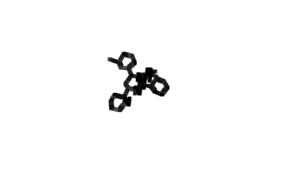 Cc1cccc(C2CC(c3ccccn3)=NN(c3ccccc3Br)N2)c1